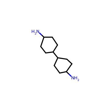 NC1CCC(C2CCC(N)CC2)CC1